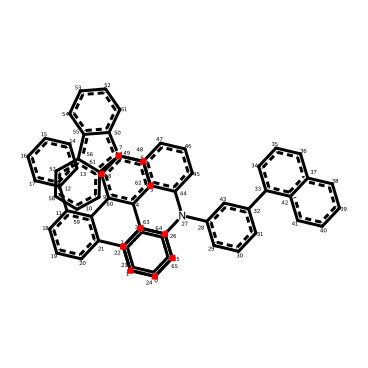 c1ccc(-c2ccccc2-c2c(-c3ccccc3)cccc2-c2cccc(N(c3cccc(-c4cccc5ccccc45)c3)c3cccc(-n4c5ccccc5c5ccccc54)c3)c2)cc1